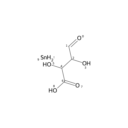 O=CC(O)C(O)C(=O)O.[SnH2]